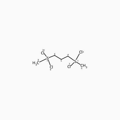 CS(Cl)(Cl)CCCS(C)(Cl)Cl